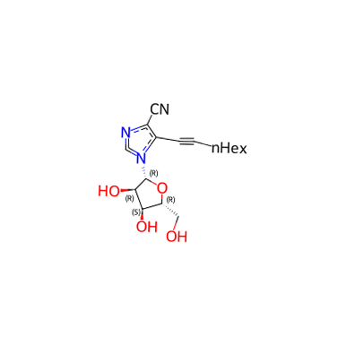 CCCCCCC#Cc1c(C#N)ncn1[C@@H]1O[C@H](CO)[C@@H](O)[C@H]1O